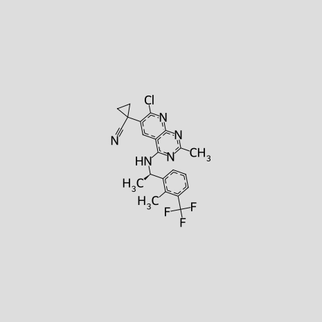 Cc1nc(N[C@H](C)c2cccc(C(F)(F)F)c2C)c2cc(C3(C#N)CC3)c(Cl)nc2n1